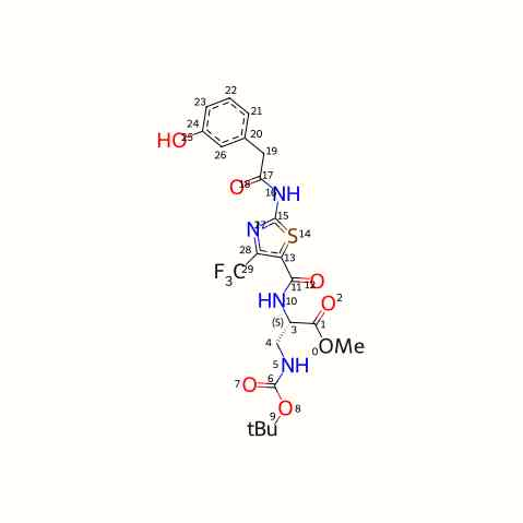 COC(=O)[C@H](CNC(=O)OC(C)(C)C)NC(=O)c1sc(NC(=O)Cc2cccc(O)c2)nc1C(F)(F)F